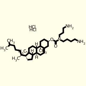 CC(C)CCC[C@@H](C)[C@H]1CC[C@H]2[C@@H]3CC=C4C[C@@H](OC(=O)N(CCCN)CCCCN)CC[C@]4(C)[C@H]3CC[C@]12C.Cl.Cl